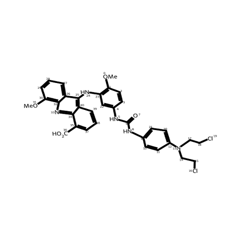 COc1ccc(NC(=O)Nc2ccc(N(CCCl)CCCl)cc2)cc1Nc1c2cccc(OC)c2nc2c(C(=O)O)cccc12